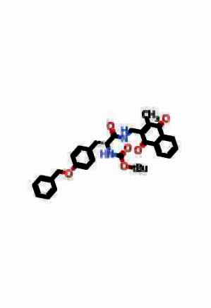 CC1=C(CNC(=O)[C@@H](Cc2ccc(OCc3ccccc3)cc2)NC(=O)OC(C)(C)C)C(=O)c2ccccc2C1=O